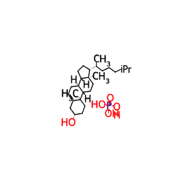 CC(C)CCCC(C)[C@H]1CC[C@H]2[C@@H]3CC=C4C[C@@H](O)CC[C@]4(C)[C@H]3CC[C@]12C.O=P(O)(O)O